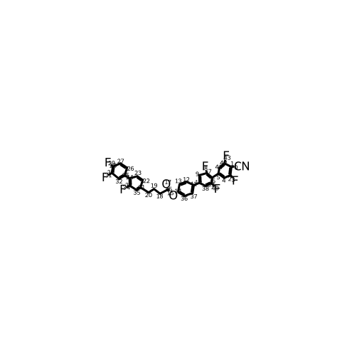 N#Cc1c(F)cc(-c2c(F)cc(-c3ccc(OC(=O)CCCc4ccc(-c5ccc(F)c(F)c5)c(F)c4)cc3)cc2F)cc1F